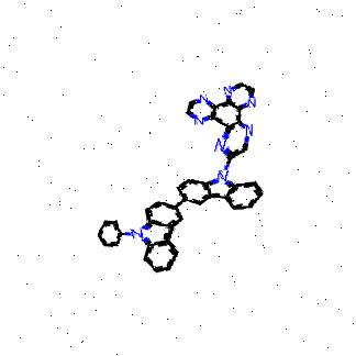 c1ccc(-n2c3ccccc3c3cc(-c4ccc5c(c4)c4ccccc4n5-c4cnc5c6nccnc6c6nccnc6c5n4)ccc32)cc1